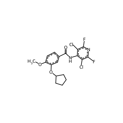 COc1ccc(C(=O)Nc2c(Cl)c(F)nc(F)c2Cl)cc1OC1CCCC1